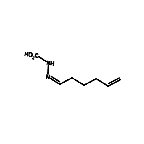 C=CCCC/C=N\NC(=O)O